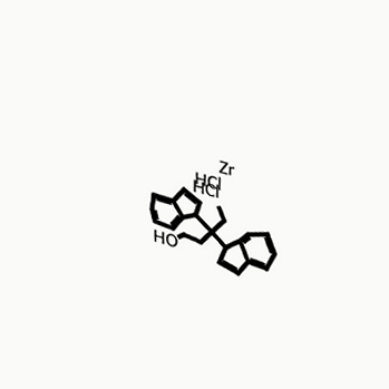 CCC(CCO)(C1C=Cc2ccccc21)C1C=Cc2ccccc21.Cl.Cl.[Zr]